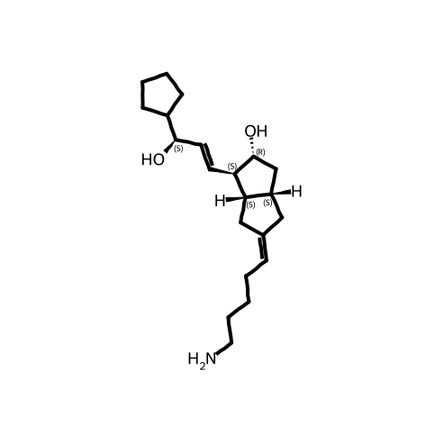 NCCCCC=C1C[C@H]2C[C@@H](O)[C@H](C=C[C@@H](O)C3CCCC3)[C@H]2C1